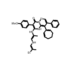 CC/C=C(\C(C1=CCCCC=C1)=C1\NC(N/C(C)=C/N/C=C(\C)CC)=C(c2ccc(OC)cc2)C(=O)N1C)c1ccccc1